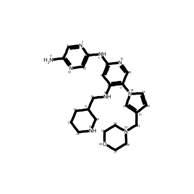 Nc1cnc(Nc2cc(NCC3CCCNC3)c(-n3ccc(CN4CCOCC4)c3)cn2)cn1